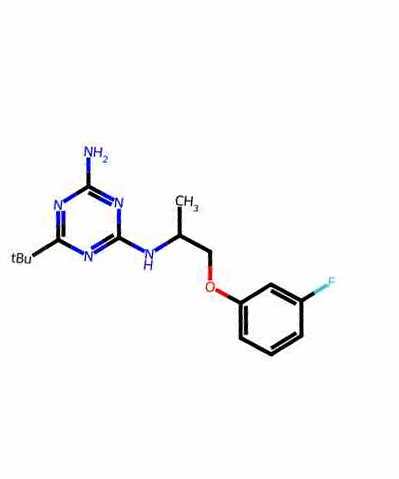 CC(COc1cccc(F)c1)Nc1nc(N)nc(C(C)(C)C)n1